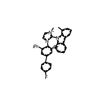 Cc1cccc2c3ccccc3n(-c3n(-c4c(C(C)C)cc(-c5ccc(F)cc5)cc4C(C)C)cc[n+]3C)c12